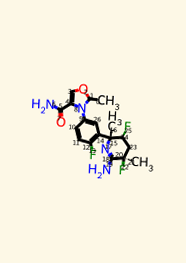 CC1OC=C(C(N)=O)N1c1ccc(F)c([C@@]2(C)N=C(N)[C@](C)(F)C[C@@H]2F)c1